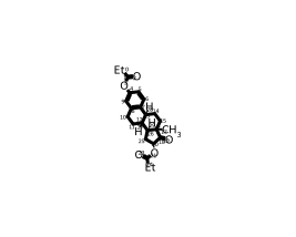 CCC(=O)Oc1ccc2c(c1)CC[C@@H]1[C@@H]2CC[C@]2(C)C(=O)[C@H](OC(=O)CC)C[C@@H]12